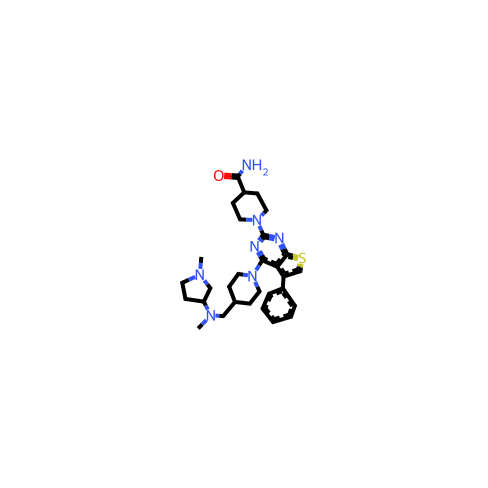 CN1CCC(N(C)CC2CCN(c3nc(N4CCC(C(N)=O)CC4)nc4scc(-c5ccccc5)c34)CC2)C1